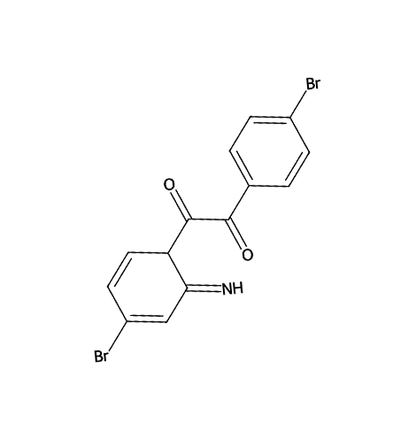 N=C1C=C(Br)C=CC1C(=O)C(=O)c1ccc(Br)cc1